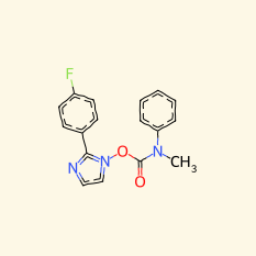 CN(C(=O)On1ccnc1-c1ccc(F)cc1)c1ccccc1